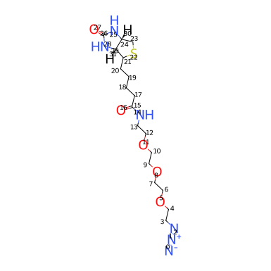 [N-]=[N+]=NCCOCCOCCOCCNC(=O)CCCCC1SC[C@H]2NC(=O)N[C@@H]12